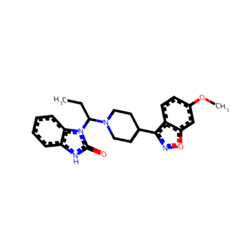 CCC(N1CCC(c2noc3cc(OC)ccc23)CC1)n1c(=O)[nH]c2ccccc21